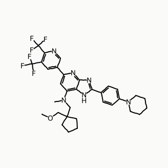 COCC1(CN(C)c2cc(-c3cnc(C(F)(F)F)c(C(F)(F)F)c3)nc3nc(-c4ccc(N5CCCCC5)cc4)[nH]c23)CCCC1